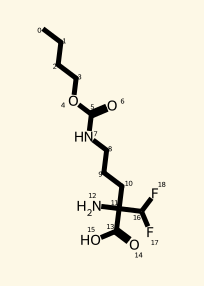 CCCCOC(=O)NCCCC(N)(C(=O)O)C(F)F